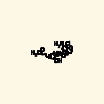 CC(=O)CCCN1CC[C@@H](CNC(=O)c2cc(N)c(Cl)c3c2OCCO3)[C@H](O)C1